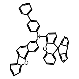 c1ccc(-c2ccc(N(c3ccc4c(ccc5c6ccccc6oc45)c3)c3cccc4c3Oc3ccccc3C43c4ccccc4-c4ccccc43)cc2)cc1